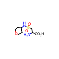 NC(CS(=O)(=O)NC1CCOCC1)C(=O)O